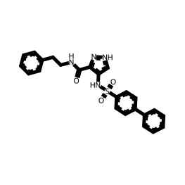 O=C(NCCc1ccccc1)c1n[nH]cc1NS(=O)(=O)c1ccc(-c2ccccc2)cc1